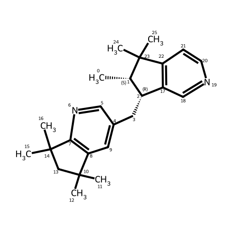 C[C@H]1[C@@H](Cc2cnc3c(c2)C(C)(C)CC3(C)C)c2cnccc2C1(C)C